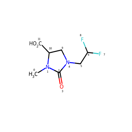 CN1C(=O)N(CC(F)F)CC1C(=O)O